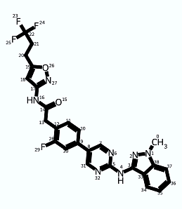 Cn1nc(Nc2ncc(-c3ccc(CC(=O)Nc4cc(CCC(F)(F)F)on4)c(F)c3)cn2)c2ccccc21